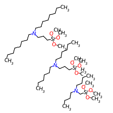 CCCCCCCCN(CCCCCCCC)CCC[Si](OC)(OC)OC.CCCCCCN(CCCCCC)CCC[Si](OC)(OC)OC.CCCCN(CCCC)C[Si](OC)(OC)OC